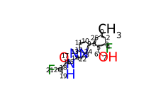 Cc1cc(F)c(CO)c(-c2ccc3nc(NC(=O)C4CC4F)cn3c2)c1